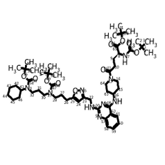 CC(C)(C)OC(=O)N[C@@H](CCC(=O)N1CCC(Nc2nc(NCc3cc(CCCN(CCCN(C(=O)OC(C)(C)C)C4CCCCC4)C(=O)OC(C)(C)C)on3)nc3ccccc23)CC1)C(=O)OC(C)(C)C